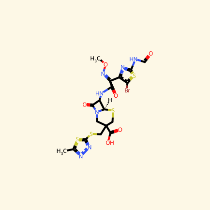 CON=C(C(=O)NC1C(=O)N2CC(CSc3nnc(C)s3)(C(=O)O)CS[C@H]12)c1nc(NC=O)sc1Br